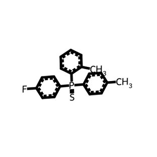 Cc1ccc(P(=S)(c2ccc(F)cc2)c2ccccc2C)cc1